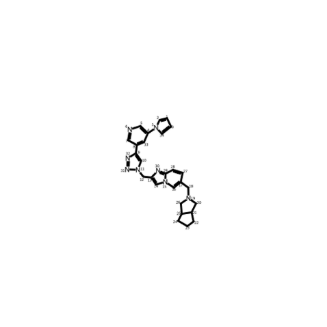 c1ccn(-c2cncc(-c3cn(Cc4cn5cc(CN6CC7CCCC7C6)ccc5n4)nn3)c2)c1